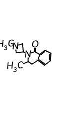 CC1Cc2ccccc2C(=O)N1C1CN(C)C1